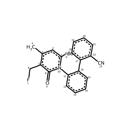 CCCCc1cc(C)c(CF)c(=O)n1-c1ccccc1-c1ccccc1C#N